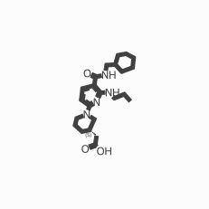 CCCNc1nc(N2CCC[C@@H](CC(=O)O)C2)ccc1C(=O)NCC1CCCCC1